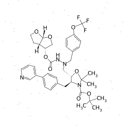 CC(C)(C)OC(=O)N1[C@@H](Cc2ccc(-c3cccnc3)cc2)[C@H](CN(Cc2ccc(OC(F)(F)F)cc2)NC(=O)O[C@H]2CO[C@H]3OCC[C@H]32)OC1(C)C